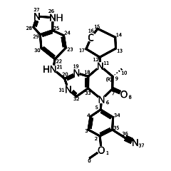 COc1ccc(N2C(=O)[C@@H](C)N(C3CCCCC3)c3nc(Nc4ccc5[nH]ncc5c4)ncc32)cc1C#N